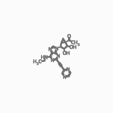 CCNc1nc(C#Cc2cnccn2)nc2c1ncn2[C@@H]1C2C[C@]2(C(C)=O)C(O)[C@H]1O